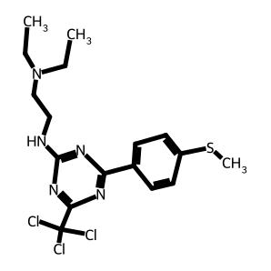 CCN(CC)CCNc1nc(-c2ccc(SC)cc2)nc(C(Cl)(Cl)Cl)n1